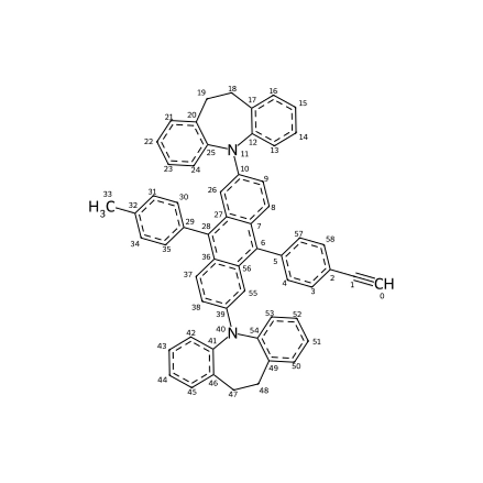 C#Cc1ccc(-c2c3ccc(N4c5ccccc5CCc5ccccc54)cc3c(-c3ccc(C)cc3)c3ccc(N4c5ccccc5CCc5ccccc54)cc23)cc1